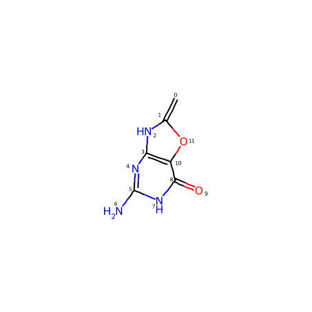 C=C1Nc2nc(N)[nH]c(=O)c2O1